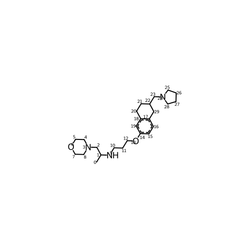 CC(CN1CCOCC1)NCCCOc1ccc2c(c1)CCC(CN1CCCC1)C2